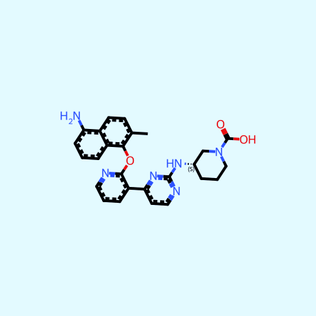 Cc1ccc2c(N)cccc2c1Oc1ncccc1-c1ccnc(N[C@H]2CCCN(C(=O)O)C2)n1